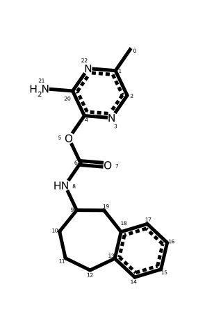 Cc1cnc(OC(=O)NC2CCCc3ccccc3C2)c(N)n1